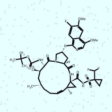 COc1cc2c(OC)cnc(O[C@@H]3C[C@H]4C(=O)N[C@]5(C(=O)NS(=O)(=O)C6(C(F)F)CC6)C[C@H]5/C=C\CC[C@H](C)C[C@@H](C)[C@H](NC(=O)OC(C)(C)C(F)(F)F)C(=O)N4C3)c2cc1F